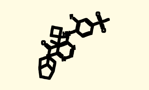 Cc1c(Nc2ccc(S(C)(=O)=O)cc2F)ncnc1OC1C2CCC1CN(C(=O)OC1(C)CCC1)C2